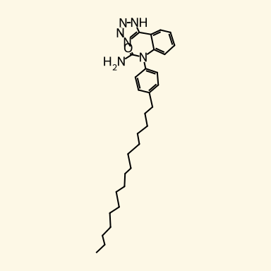 CCCCCCCCCCCCCCCCc1ccc(N(C(N)=O)c2ccccc2-c2nnn[nH]2)cc1